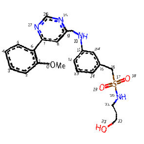 COc1ccccc1-c1cc(Nc2cccc(CS(=O)(=O)NCCO)c2)ncn1